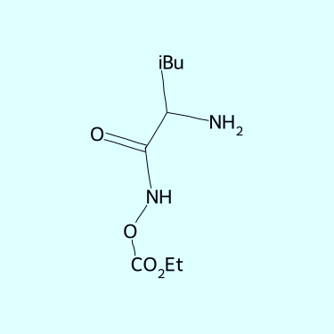 CCOC(=O)ONC(=O)C(N)C(C)CC